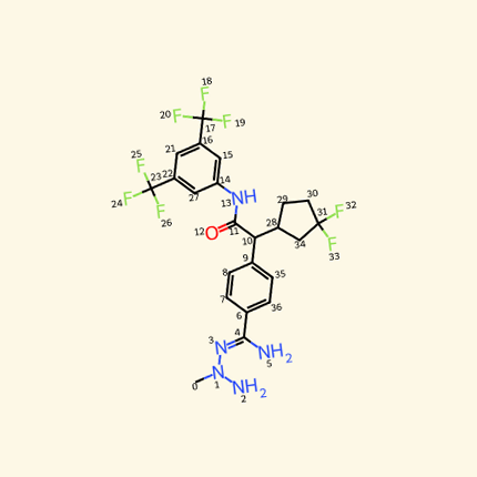 CN(N)/N=C(\N)c1ccc(C(C(=O)Nc2cc(C(F)(F)F)cc(C(F)(F)F)c2)C2CCC(F)(F)C2)cc1